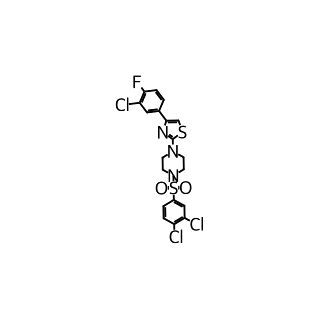 O=S(=O)(c1ccc(Cl)c(Cl)c1)N1CCN(c2nc(-c3ccc(F)c(Cl)c3)cs2)CC1